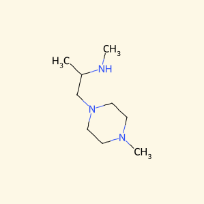 CNC(C)CN1CCN(C)CC1